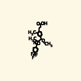 CCOC(c1ccc(CCC(=O)O)c(C)c1)c1oc(-c2ccc(C(F)(F)F)cc2)nc1C